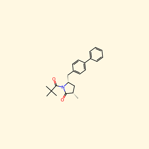 C[C@H]1C[C@@H](Cc2ccc(-c3ccccc3)cc2)N(C(=O)C(C)(C)C)C1=O